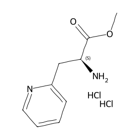 COC(=O)[C@@H](N)Cc1ccccn1.Cl.Cl